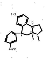 COc1cccc([C@H]2C[C@@H]3[C@H](CCN3C)c3ccccc32)c1.Cl